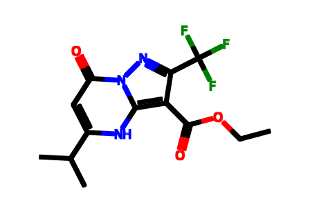 CCOC(=O)c1c(C(F)(F)F)nn2c(=O)cc(C(C)C)[nH]c12